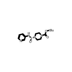 CC(C)(C)OC(=O)N1CCN([S+]([O-])Nc2cccnc2)CC1